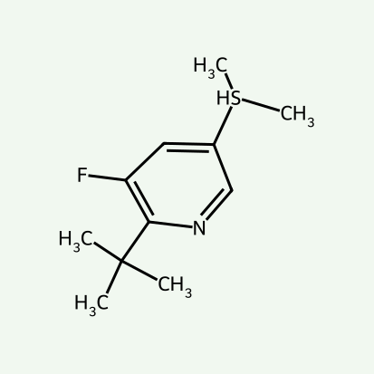 C[SH](C)c1cnc(C(C)(C)C)c(F)c1